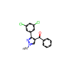 CCCn1cc(C(=O)c2ccccc2)c(-c2cc(Cl)cc(Cl)c2)n1